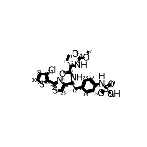 CC[C@H](NC(=O)OC)C(=O)N[C@@H](Cc1ccc(NS(=O)(=O)O)cc1)c1csc(-c2sccc2Cl)n1